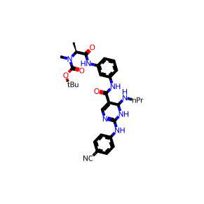 CCCNC1NC(Nc2ccc(C#N)cc2)=NC=C1C(=O)Nc1cccc(NC(=O)[C@H](C)N(C)C(=O)OC(C)(C)C)c1